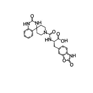 O=C1Nc2ccccc2C2(CCN(C(=O)N[C@H](Cc3ccc4[nH]c(=O)oc4c3)C(=O)O)CC2)N1